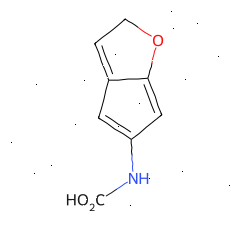 O=C(O)NC1=CC2=CCOC2=C1